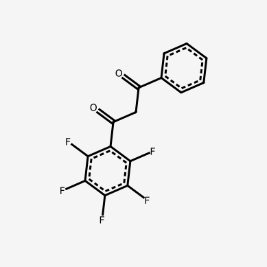 O=C(CC(=O)c1c(F)c(F)c(F)c(F)c1F)c1ccccc1